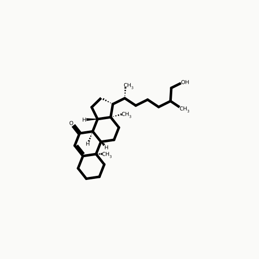 CC(CO)CCC[C@@H](C)[C@H]1CC[C@H]2[C@@H]3C(=O)C=C4CCCC[C@]4(C)[C@H]3CC[C@]12C